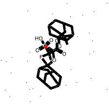 CC1(OC(=O)OC23CC4CC(C2)C(C)(OC(=O)C(F)(F)S(=O)(=O)O)C(C4)C3)C2CC3CC(C2)CC1C3